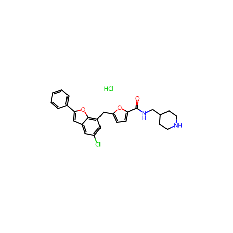 Cl.O=C(NCC1CCNCC1)c1ccc(Cc2cc(Cl)cc3cc(-c4ccccc4)oc23)o1